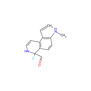 C=Cc1c(NC)ccc2c1C=CNC2(F)C=O